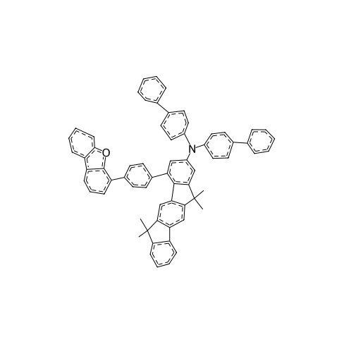 CC1(C)c2ccccc2-c2cc3c(cc21)-c1c(-c2ccc(-c4cccc5c4oc4ccccc45)cc2)cc(N(c2ccc(-c4ccccc4)cc2)c2ccc(-c4ccccc4)cc2)cc1C3(C)C